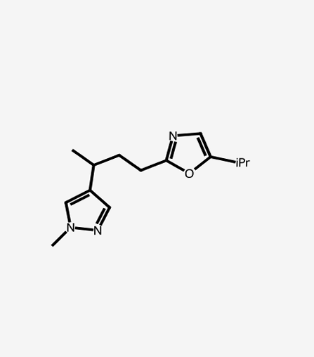 CC(C)c1cnc(CCC(C)c2cnn(C)c2)o1